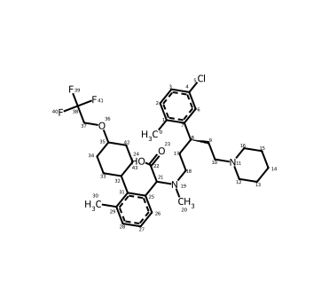 Cc1ccc(Cl)cc1[C@@H](CCN1CCCCC1)CCN(C)C(C(=O)O)c1cccc(C)c1C1CCC(OCC(F)(F)F)CC1